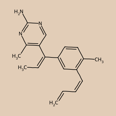 C=C/C=C\c1cc(/C(=C/C)c2cnc(N)nc2C)ccc1C